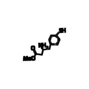 COC(=O)C[C@@H](N)Cc1ccc(S)cc1